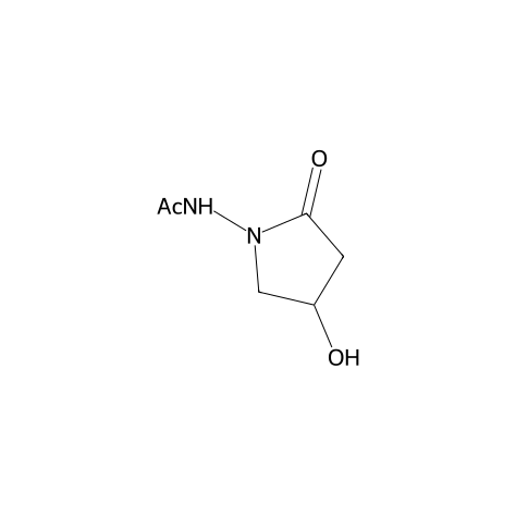 CC(=O)NN1CC(O)CC1=O